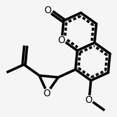 C=C(C)C1OC1c1c(OC)ccc2ccc(=O)oc12